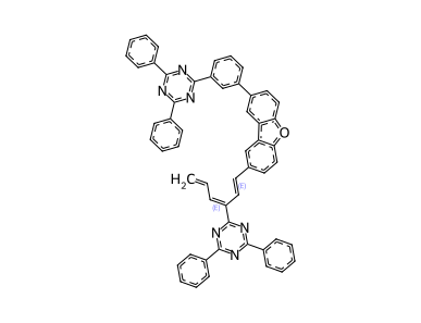 C=C/C=C(\C=C\c1ccc2oc3ccc(-c4cccc(-c5nc(-c6ccccc6)nc(-c6ccccc6)n5)c4)cc3c2c1)c1nc(-c2ccccc2)nc(-c2ccccc2)n1